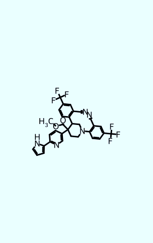 COC(=O)C1(c2ccc(-c3ccc[nH]3)nc2)CCN(c2ccc(C(F)(F)F)cc2C#N)CC1c1ccc(C(F)(F)F)cc1C#N